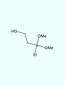 CC[Si](CCO)(OC)OC